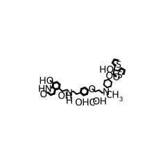 CN(CCCOc1ccc(CCNC[C@H](O)c2ccc(O)c3[nH]c(=O)ccc23)cc1)[C@H]1CC[C@H](OC(=O)C(O)(c2cccs2)c2cccs2)CC1.O=CO